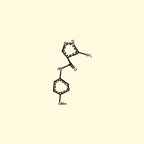 COc1ccc(NC(=O)c2cn[nH]c2N)cc1